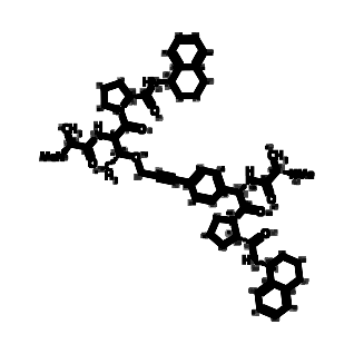 CN[C@@H](C)C(=O)NC(C(=O)N1CCC[C@H]1C(=O)N[C@@H]1CCCc2ccccc21)[C@@H](C)OCC#Cc1ccc([C@H](NC(=O)[C@H](C)NC)C(=O)N2CCC[C@H]2C(=O)N[C@@H]2CCCc3ccccc32)cc1